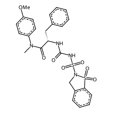 COc1ccc(N(C)C(=O)[C@H](Cc2ccccc2)NC(=O)NS(=O)(=O)N2Cc3ccccc3S2(=O)=O)cc1